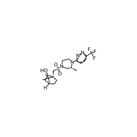 C[C@H]1CN(S(=O)(=O)C[C@]23CC[C@H](CC2O)C3(C)C)CCN1c1ccc(C(F)(F)F)nn1